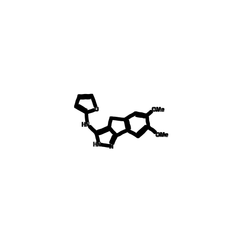 COc1cc2c(cc1OC)-c1n[nH]c(Nc3ccco3)c1C2